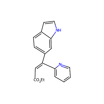 CCOC(=O)/C=C(/c1ccc2cc[nH]c2c1)c1ccccn1